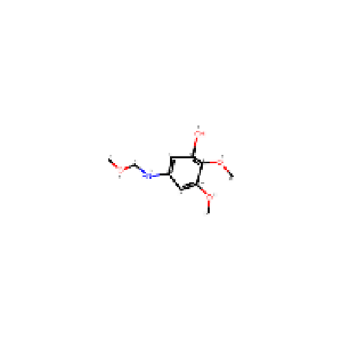 COCNc1cc(O)c(OC)c(OC)c1